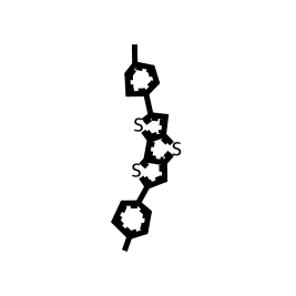 Cc1ccc(-c2cc3sc4cc(-c5ccc(C)cc5)sc4c3s2)cc1